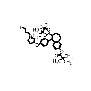 CC(C)(C)C(=O)Oc1ccc2c(c1)CCCC(B1OC(C)(C)C(C)(C)O1)=C2c1ccc(O[C@H]2CCN(CCCF)C2)cc1